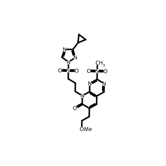 COCCc1cc2cnc(S(C)(=O)=O)nc2n(CCCS(=O)(=O)n2cnc(C3CC3)n2)c1=O